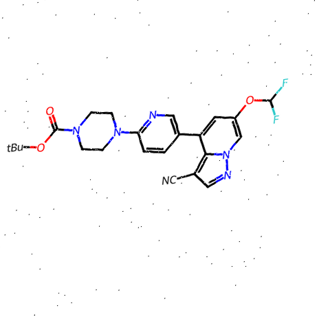 CC(C)(C)OC(=O)N1CCN(c2ccc(-c3cc(OC(F)F)cn4ncc(C#N)c34)cn2)CC1